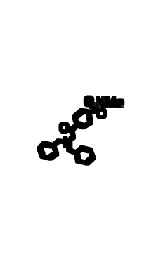 CNS(=O)(=O)c1ccc(C(=O)CN(Cc2ccccc2)Cc2ccccc2)cc1